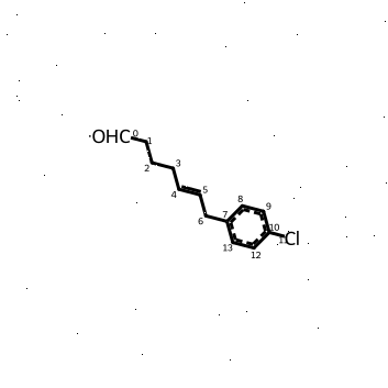 O=[C]CCCC=CCc1ccc(Cl)cc1